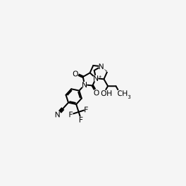 CCC(O)C1C[N@@]2CC3C(=O)N(c4ccc(C#N)c(C(F)(F)F)c4)C(=O)[N+]31C2